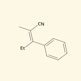 CC/C(=C(\C)C#N)c1ccccc1